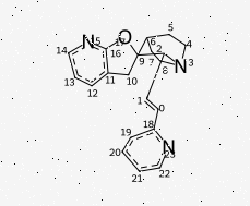 C(=C\C1N2CCC(CC2)C12Cc1cccnc1O2)/c1ccccn1